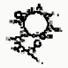 CC(C)C[C@@H]1NC(=O)[C@@H](Cc2ccccc2)NC(=O)[C@H](CCN)NC(=O)[C@@H](NC(=O)[C@H](CCN)NC(=O)[C@@H](NC(=O)[C@H](CCCCN)NC(=O)C2CCNCC2)C(C)O)CCNC(=O)C(C(C)O)NC(=O)[C@H](CCN)NC(=O)[C@H](CCN)NC1=O